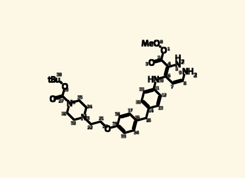 COOC(=O)/C(N)=C(/C=C\N)Nc1ccc(Cc2ccc(OCCN3CCN(C(=O)OC(C)(C)C)CC3)cc2)cc1